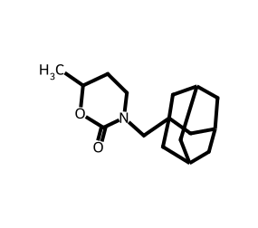 CC1CCN(CC23CC4CC(CC(C4)C2)C3)C(=O)O1